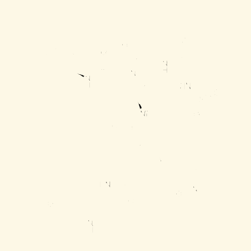 C[C@H](NC(=O)OCc1ccc(N=O)cc1)C(=O)NC(C(=O)N1C[C@@H](NC(=O)c2cccc(C(=O)N[C@@H]3CN[C@H](C=O)C3)c2)CC1C(=O)N[C@@H]1CCCc2ccccc21)C(C)(C)C